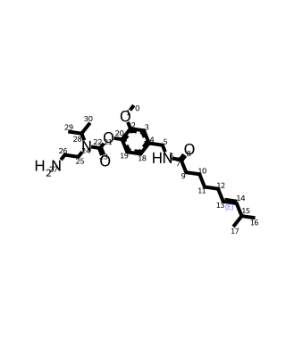 COc1cc(CNC(=O)CCCC/C=C/C(C)C)ccc1OC(=O)N(CCN)C(C)C